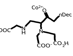 CCCCCCCCCCCC(=O)C(CNCC(=O)[O-])N(CC(=O)[O-])CC(=O)O.[Co+2]